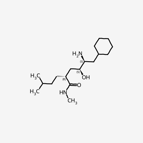 CNC(=O)[C@H](CCC(C)C)C[C@H](O)[C@@H](N)CC1CCCCC1